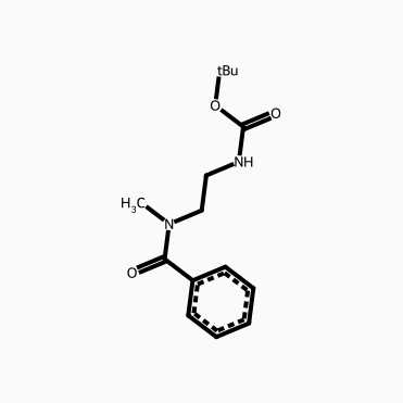 CN(CCNC(=O)OC(C)(C)C)C(=O)c1ccccc1